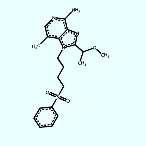 COC(C)c1nc2c(N)ncc(C)c2n1CCCCS(=O)(=O)c1ccccc1